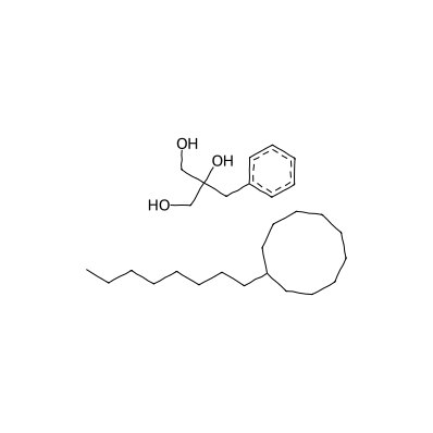 CCCCCCCCC1CCCCCCCCC1.OCC(O)(CO)Cc1ccccc1